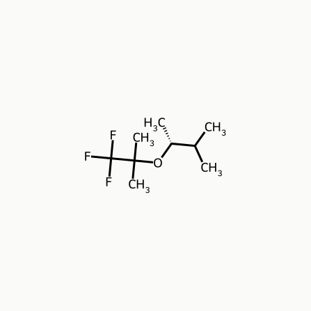 CC(C)[C@@H](C)OC(C)(C)C(F)(F)F